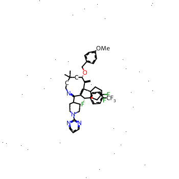 C=C1/C(C2CCC(F)(F)CC2)=C([C@@H](F)c2ccc(C(F)(F)F)cc2)\C(C2CCN(c3ncccn3)CC2)=N/CCC(C)(C)C[C@@H]1OCc1ccc(OC)cc1